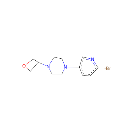 Brc1ccc(N2CCN(C3COC3)CC2)cn1